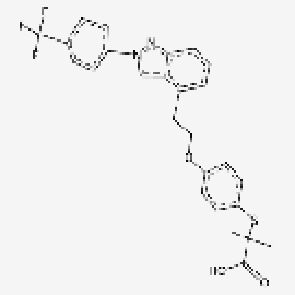 CC(C)(Sc1ccc(OCCc2cccc3nn(-c4ccc(C(F)(F)F)cc4)cc23)cc1)C(=O)O